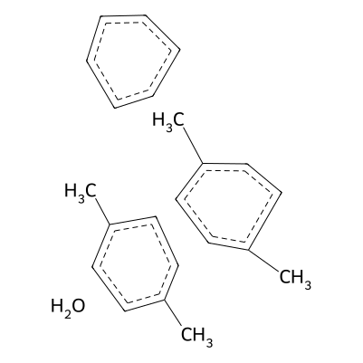 Cc1ccc(C)cc1.Cc1ccc(C)cc1.O.c1ccccc1